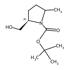 CC1CC[C@H](CO)N1C(=O)OC(C)(C)C